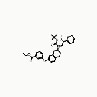 CCOC(=O)c1cccc(Oc2ccc3c(c2)C[C@@H](N(C[C@H](O)c2cccnc2)C(=O)OC(C)(C)C)CC3)c1